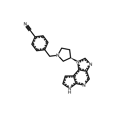 N#Cc1ccc(CN2CC[C@@H](n3cnc4cnc5[nH]ccc5c43)C2)cc1